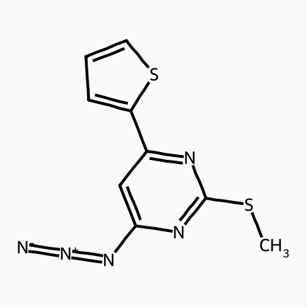 CSc1nc(N=[N+]=[N-])cc(-c2cccs2)n1